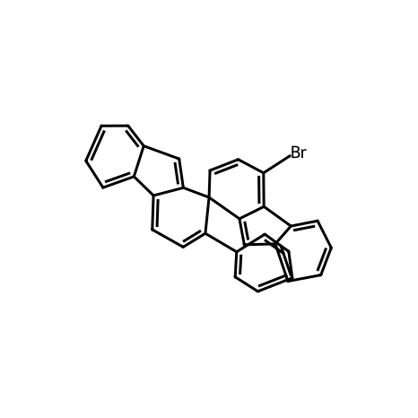 BrC1=C2C(=Cc3ccccc32)C2(C=C1)C1=Cc3ccccc3C1=CC=C2c1ccccc1